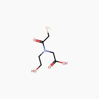 BCC(=O)N(CCO)CC(=O)O